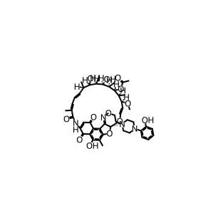 CO[C@H]1/C=C/O[C@@]2(C)Oc3c(C)c(O)c4c(c3/C2=N/OCCN2CCN(c3ccccc3O)CC2)C(=O)C=C(NC(=O)/C(C)=C\C=C\[C@H](C)[C@H](O)[C@@H](C)[C@@H](O)[C@@H](C)[C@H](OC(C)=O)[C@@H]1C)C4=O